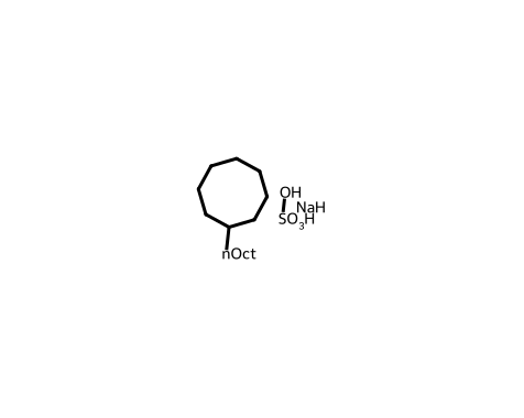 CCCCCCCCC1CCCCCCC1.O=S(=O)(O)O.[NaH]